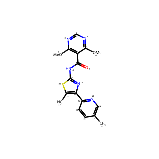 COc1ncnc(OC)c1C(=O)Nc1nc(-c2ccc(C(F)(F)F)cn2)c(C#N)s1